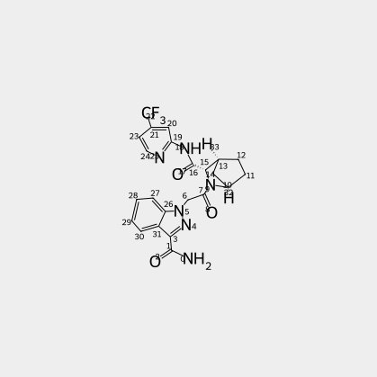 NC(=O)c1nn(CC(=O)N2[C@@H]3CC[C@@H](C3)[C@H]2C(=O)Nc2cc(C(F)(F)F)ccn2)c2ccccc12